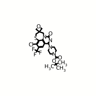 CC(C)(C)OC(=O)N1CCN(c2nc(=O)n3c4c(c(Cl)c(C(F)(F)F)cc24)SCC2(COC2)C3)CC1